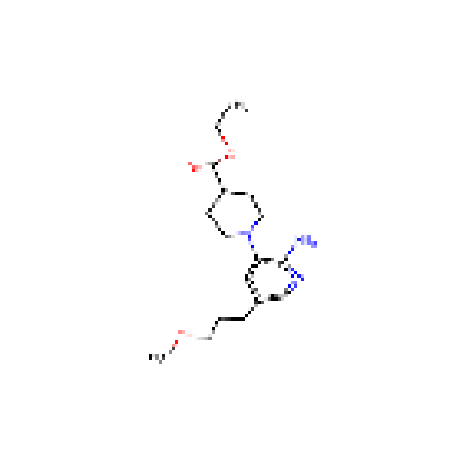 CCOC(=O)C1CCN(c2cc(CCCOC)cnc2N)CC1